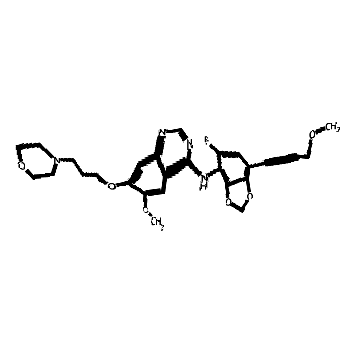 COCC#Cc1cc(F)c(Nc2ncnc3cc(OCCCN4CCOCC4)c(OC)cc23)c2c1OCO2